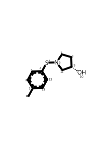 Cc1ccc(SN2CC[C@H](O)C2)cc1